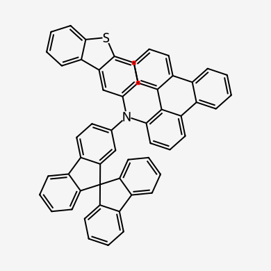 c1ccc2c(c1)-c1ccccc1C21c2ccccc2-c2ccc(N(c3ccc4sc5ccccc5c4c3)c3cccc4c5ccccc5c5ccccc5c34)cc21